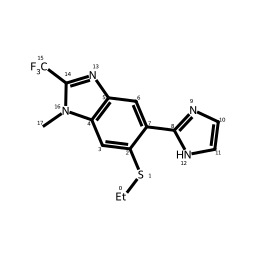 CCSc1cc2c(cc1-c1ncc[nH]1)nc(C(F)(F)F)n2C